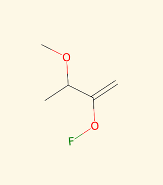 C=C(OF)C(C)OC